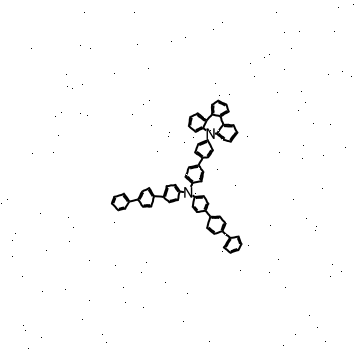 c1ccc(-c2ccc(-c3ccc(N(c4ccc(-c5ccc(-c6ccccc6)cc5)cc4)c4ccc(-c5ccc(N6c7ccccc7-c7ccccc7-c7ccccc76)cc5)cc4)cc3)cc2)cc1